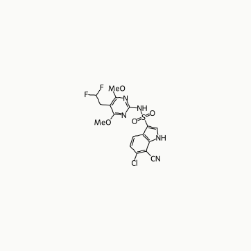 COc1nc(NS(=O)(=O)c2c[nH]c3c(C#N)c(Cl)ccc23)nc(OC)c1CC(F)F